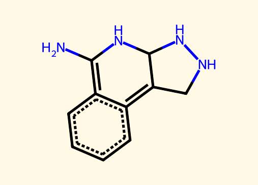 NC1=c2ccccc2=C2CNNC2N1